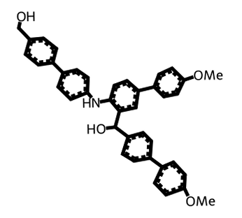 COc1ccc(-c2ccc(C(O)c3cc(-c4ccc(OC)cc4)ccc3Nc3ccc(-c4ccc(CO)cc4)cc3)cc2)cc1